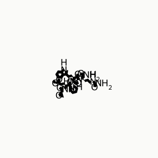 COC(=O)CC[C@H](NC(=O)C1CO1)C(=O)N1CCCC[C@H]1C(=O)N[C@@H](CCc1c[nH]c2ccccc12)C(=O)N[C@@H](CCCNC(N)=O)C(N)=O